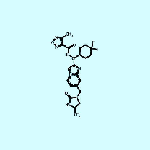 Cc1nonc1C(=O)N[C@H](c1cn2ccc(CN3CC(C(F)(F)F)NC3=O)cc2n1)C1CCC(F)(F)CC1